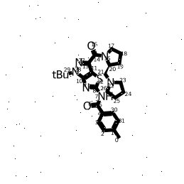 Cc1ccc(C(=O)Nc2nc3c(s2)c(C(=O)N2CCC[C@H]2CN2CCCC2)nn3C(C)(C)C)cc1